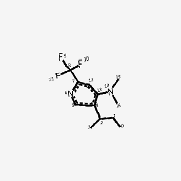 CCC(C)c1cnc(C(F)(F)F)cc1N(C)C